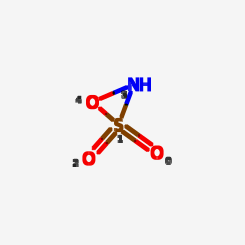 O=S1(=O)NO1